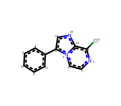 Clc1nccn2c(-c3ccccc3)cnc12